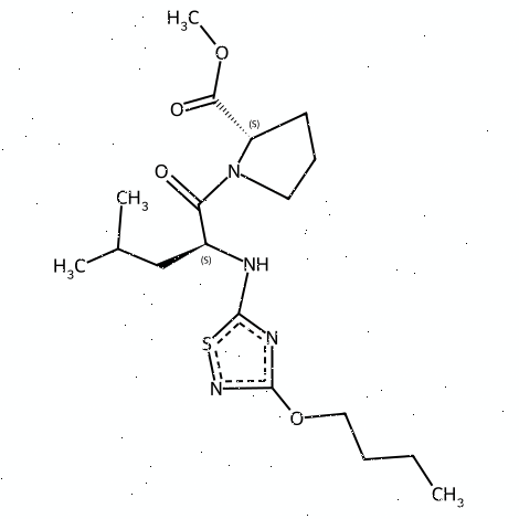 CCCCOc1nsc(N[C@@H](CC(C)C)C(=O)N2CCC[C@H]2C(=O)OC)n1